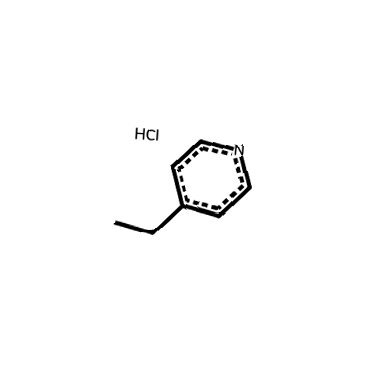 CCc1ccncc1.Cl